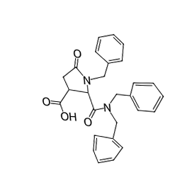 O=C(O)C1CC(=O)N(Cc2ccccc2)C1C(=O)N(Cc1ccccc1)Cc1ccccc1